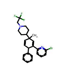 CC1(C2CCN(CC(F)(F)F)CC2)C=CC(c2ccccc2)C(c2cccc(Br)n2)=C1